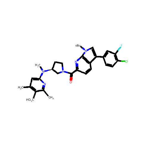 Cc1cc(N(C)[C@H]2CCN(C(=O)c3ccc4c(-c5ccc(Cl)c(F)c5)cn(C(C)(C)C)c4n3)C2)nc(C)c1C(=O)O